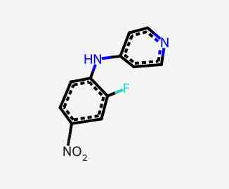 O=[N+]([O-])c1ccc(Nc2ccncc2)c(F)c1